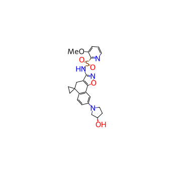 COc1cccnc1S(=O)(=O)Nc1noc2c1CC1(CC1)c1ccc(N3CC[C@@H](O)C3)cc1-2